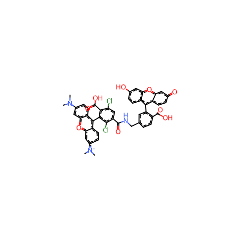 CN(C)c1ccc2c(-c3c(Cl)c(C(=O)NCc4ccc(C(=O)O)c(-c5c6ccc(=O)cc-6oc6cc(O)ccc56)c4)cc(Cl)c3C(=O)O)c3ccc(=[N+](C)C)cc-3oc2c1